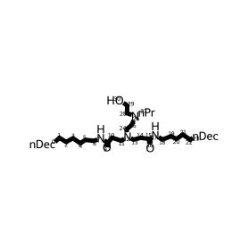 CCCCCCCCCCCCCCCCNC(=O)CCN(CCC(=O)NCCCCCCCCCCCCCCC)CCN(CCC)CCO